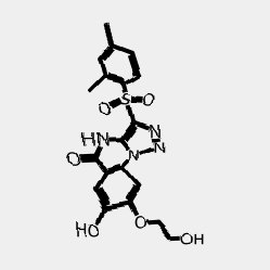 Cc1ccc(S(=O)(=O)c2nnn3c2[nH]c(=O)c2cc(O)c(OCCO)cc23)c(C)c1